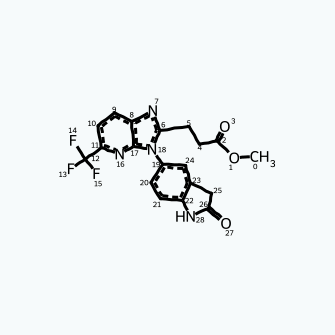 COC(=O)CCc1nc2ccc(C(F)(F)F)nc2n1-c1ccc2c(c1)CC(=O)N2